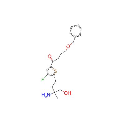 CC(N)(CO)CCc1sc(C(=O)CCCOCc2ccccc2)cc1F